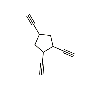 C#CC1CC(C#C)C(C#C)C1